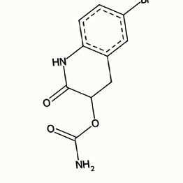 NC(=O)OC1Cc2cc(Br)ccc2NC1=O